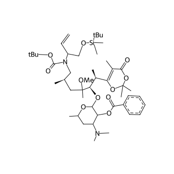 C=CC(CO[Si](C)(C)C(C)(C)C)N(C[C@H](C)CC(C)(OC)[C@H](OC1OC(C)CC(N(C)C)C1OC(=O)c1ccccc1)[C@@H](C)C1=C(C)C(=O)OC(C)(C)O1)C(=O)OC(C)(C)C